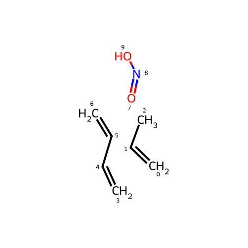 C=CC.C=CC=C.O=NO